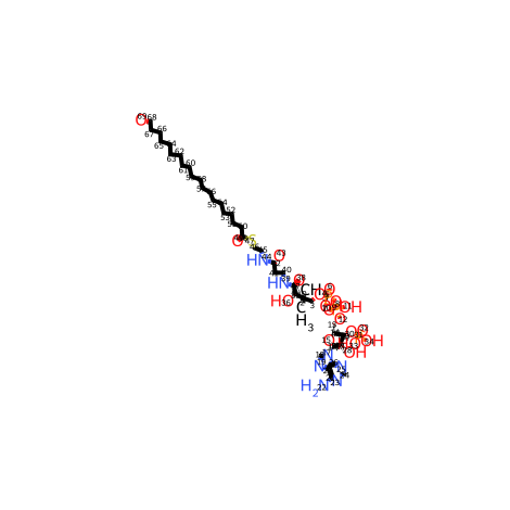 CC(C)(COP(=O)(O)OP(=O)(O)OC[C@H]1O[C@@H](n2cnc3c(N)ncnc32)[C@H](O)[C@@H]1OP(=O)(O)O)[C@@H](O)C(=O)NCCC(=O)NCCSC(=O)CCCCCCCCCCCCCCCCCCC=O